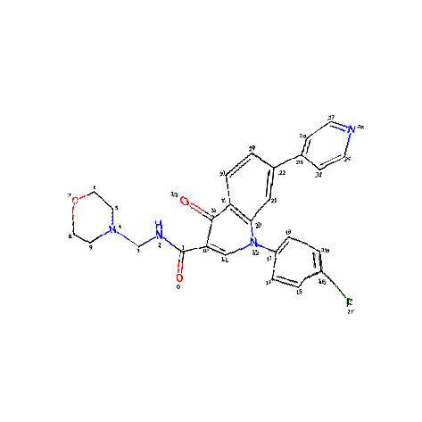 O=C(NCN1CCOCC1)c1cn(-c2ccc(F)cc2)c2cc(-c3ccncc3)ccc2c1=O